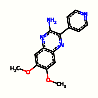 COc1cc2nc(N)c(-c3ccncc3)nc2cc1OC